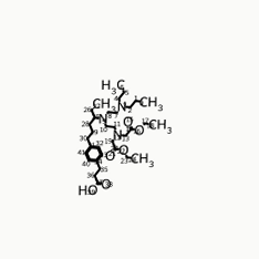 CCCN(CCC)CCN(CCN(CC(=O)OCC)CC(=O)OCC)C(CC)CCCc1ccc(CCC(=O)O)cc1